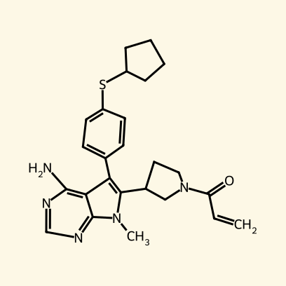 C=CC(=O)N1CCC(c2c(-c3ccc(SC4CCCC4)cc3)c3c(N)ncnc3n2C)C1